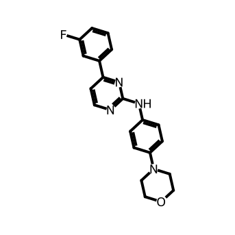 Fc1cccc(-c2ccnc(Nc3ccc(N4CCOCC4)cc3)n2)c1